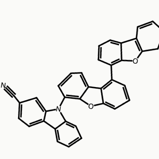 N#Cc1ccc2c3ccccc3n(-c3cccc4c3oc3cccc(-c5cccc6c7c(oc56)CCC=C7)c34)c2c1